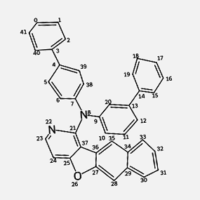 c1ccc(-c2ccc(N(c3cccc(-c4ccccc4)c3)c3nccc4oc5cc6ccccc6cc5c34)cc2)cc1